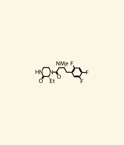 CC[C@@H]1C(=O)NCCN1C(=O)C[C@@H](Cc1cc(F)c(F)cc1F)NC